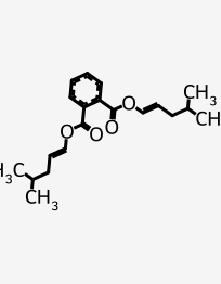 CC(C)CC=COC(=O)c1ccccc1C(=O)OC=CCC(C)C